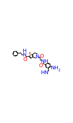 N=Cc1cc(C(=O)NCC(=O)N2CCc3sc(C(=O)NCCc4ccccc4)cc3C2)ccc1N